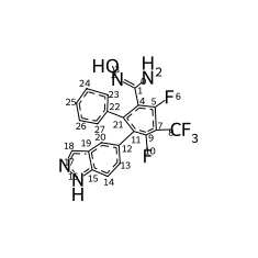 NC(=NO)c1c(F)c(C(F)(F)F)c(F)c(-c2ccc3[nH]ncc3c2)c1-c1ccccc1